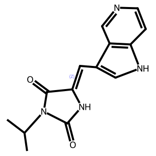 CC(C)N1C(=O)N/C(=C\c2c[nH]c3ccncc23)C1=O